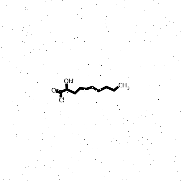 CCCCCCCCC(O)C(=O)Cl